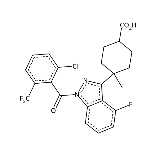 CC1(c2nn(C(=O)c3c(Cl)cccc3C(F)(F)F)c3cccc(F)c23)CCC(C(=O)O)CC1